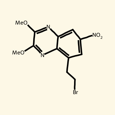 COc1nc2cc([N+](=O)[O-])cc(CCBr)c2nc1OC